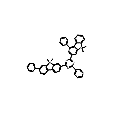 C[Si]1(C)c2cc(-c3ccccc3)ccc2-c2ccc(-c3nc(-c4ccccc4)nc(-c4cc(-c5ccccc5)c5c(c4)[Si](C)(C)c4ccccc4-5)n3)cc21